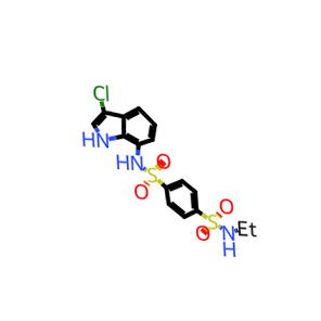 CCNS(=O)(=O)c1ccc(S(=O)(=O)Nc2cccc3c(Cl)c[nH]c23)cc1